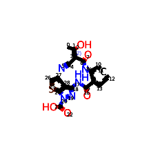 C/C(O)=C(\C#N)C(=O)Nc1ccccc1C(=O)Nc1nn(C(=O)O)c2sccc12